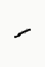 CC(C)CCCN1CCN(CCOCCOCCOCCC(C)C)CC1